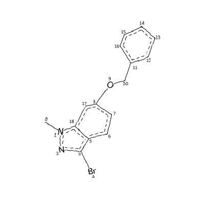 Cn1nc(Br)c2ccc(OCc3ccccc3)cc21